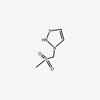 CS(=O)(=O)CN1C=CSN1